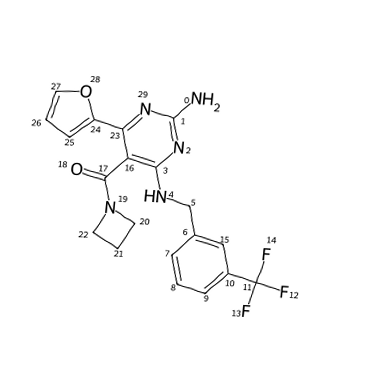 Nc1nc(NCc2cccc(C(F)(F)F)c2)c(C(=O)N2CCC2)c(-c2ccco2)n1